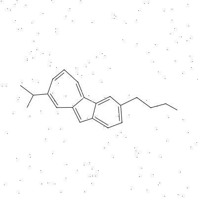 CCCCc1ccc2cc3cc(C(C)C)cccc-3c2c1